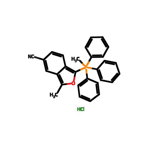 Cc1oc(P(C)(c2ccccc2)(c2ccccc2)c2ccccc2)c2ccc(C#N)cc12.Cl